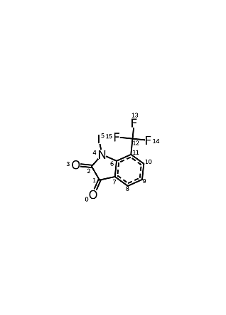 O=C1C(=O)N(I)c2c1cccc2C(F)(F)F